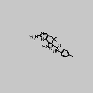 Cc1ccc(NC(=O)c2n[nH]c3c2C(C)(C)Cc2cnc(N)nc2-3)cc1